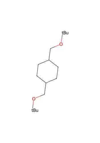 CC(C)(C)OCC1CCC(COC(C)(C)C)CC1